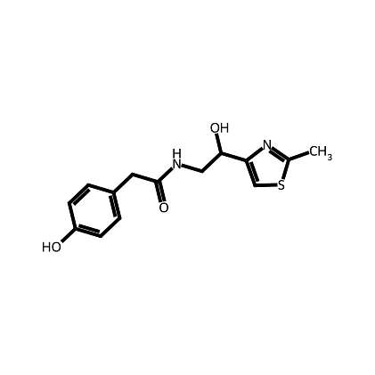 Cc1nc(C(O)CNC(=O)Cc2ccc(O)cc2)cs1